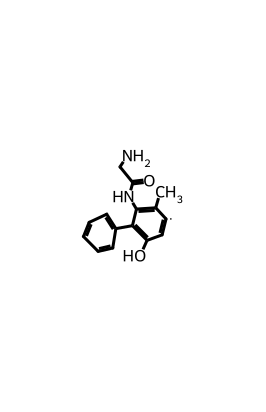 Cc1[c]cc(O)c(-c2ccccc2)c1NC(=O)CN